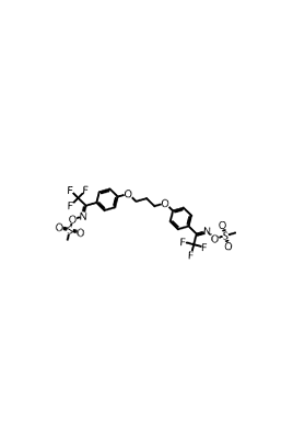 CS(=O)(=O)ON=C(c1ccc(OCCCOc2ccc(C(=NOS(C)(=O)=O)C(F)(F)F)cc2)cc1)C(F)(F)F